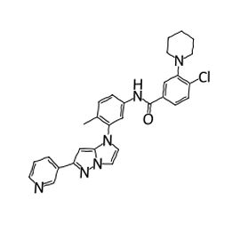 Cc1ccc(NC(=O)c2ccc(Cl)c(N3CCCCC3)c2)cc1-n1ccn2nc(-c3cccnc3)cc12